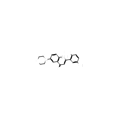 O=c1cc(-c2cc(O)ccc2O)[nH]c2ccc(N3CCOCC3)cc12